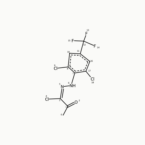 CC(=O)/C(Cl)=N\Nc1c(Cl)cc(C(F)(F)F)cc1Cl